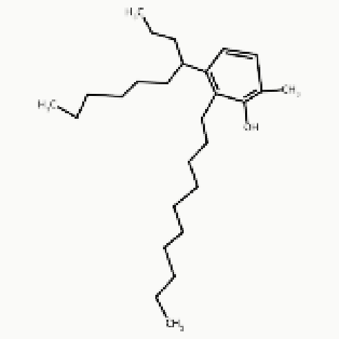 CCCCCCCCCCc1c(C(CCC)CCCCCC)ccc(C)c1O